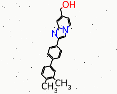 Cc1ccc(-c2ccc(-c3cn4ccc(CO)cc4n3)cc2)cc1C